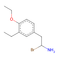 CCOc1ccc(CC(N)Br)cc1CC